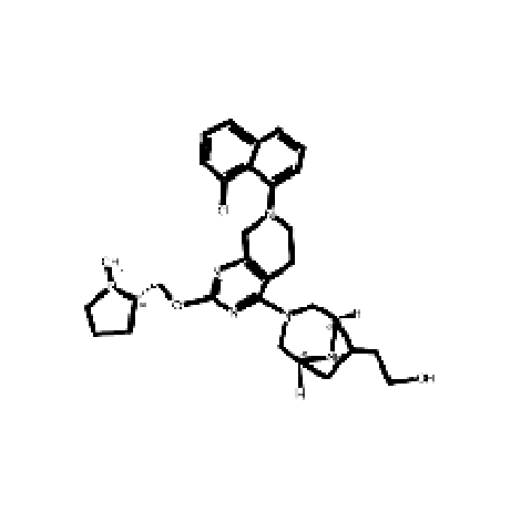 CN1CCC[C@H]1COc1nc2c(c(N3C[C@H]4CC(CCO)[C@@H](C3)N4)n1)CCN(c1cccc3cccc(Cl)c13)C2